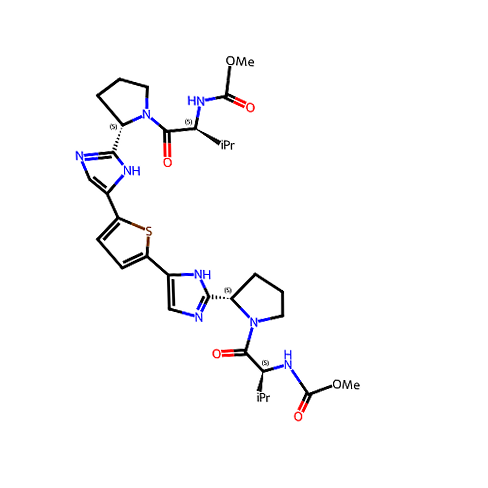 COC(=O)N[C@H](C(=O)N1CCC[C@H]1c1ncc(-c2ccc(-c3cnc([C@@H]4CCCN4C(=O)[C@@H](NC(=O)OC)C(C)C)[nH]3)s2)[nH]1)C(C)C